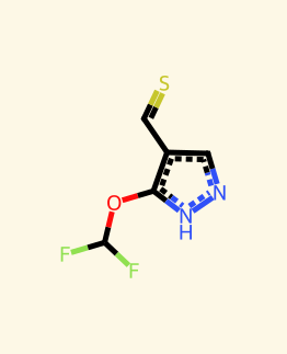 FC(F)Oc1[nH]ncc1C=S